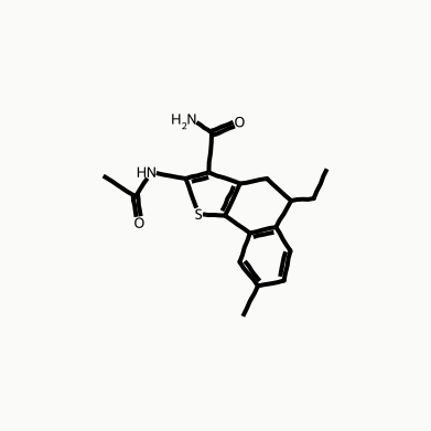 CCC1Cc2c(sc(NC(C)=O)c2C(N)=O)-c2cc(C)ccc21